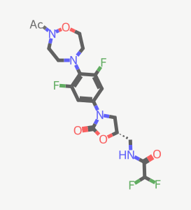 CC(=O)N1CCN(c2c(F)cc(N3C[C@H](CNC(=O)C(F)F)OC3=O)cc2F)CCO1